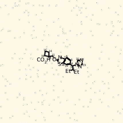 CCC(CC)C(c1ccc2nc(OCC3(C(=O)O)CCC3)sc2c1)n1cncn1